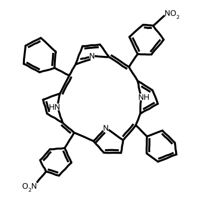 O=[N+]([O-])c1ccc(-c2c3nc(c(-c4ccccc4)c4ccc([nH]4)c(-c4ccc([N+](=O)[O-])cc4)c4nc(c(-c5ccccc5)c5ccc2[nH]5)C=C4)C=C3)cc1